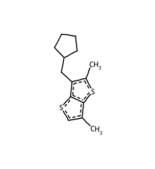 Cc1sc2c(C)csc2c1CC1CCCC1